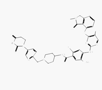 COc1cc(C(=O)NC2CCN(Cc3ccc(N4CCC(=O)NC4=O)cn3)CC2)c(F)cc1Nc1ncc(C(F)(F)F)c(Oc2cccc3c2C(=O)N(C)C3)n1